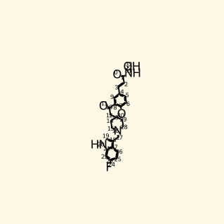 O=C(C=Cc1ccc2c(c1)C(=O)CC1(CCN(Cc3c[nH]c4cc(F)ccc34)CC1)O2)NO